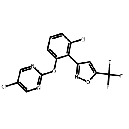 FC(F)(F)c1cc(-c2c(Cl)cccc2Oc2ncc(Cl)cn2)no1